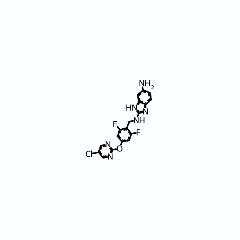 Nc1ccc2nc(NCc3c(F)cc(Oc4ncc(Cl)cn4)cc3F)[nH]c2c1